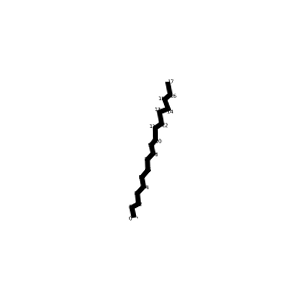 [CH2]CCCCCCCCCC[CH]CCCCCC